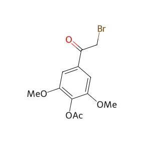 COc1cc(C(=O)CBr)cc(OC)c1OC(C)=O